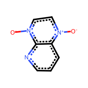 [O-][n+]1cc[n+]([O-])c2ncccc21